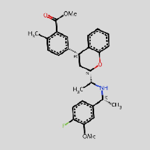 COC(=O)c1cc([C@H]2C[C@@H](C(C)N[C@H](C)c3ccc(F)c(OC)c3)Oc3ccccc32)ccc1C